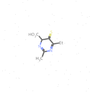 CCC1=NC(C)=NC(C(=O)O)C1=S